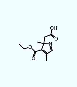 CCOC(=O)C1=C(C)C=NC1(C)CC(=O)O